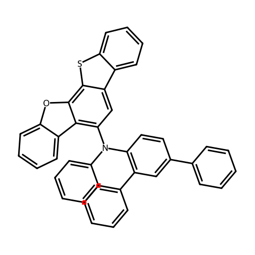 c1ccc(-c2ccc(N(c3ccccc3)c3cc4c5ccccc5sc4c4oc5ccccc5c34)c(-c3ccccc3)c2)cc1